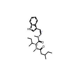 CCC(C)CC(=O)N(C)[C@H](C(=O)N(C)/C=C\c1c[nH]c2ccccc12)C(C)CC